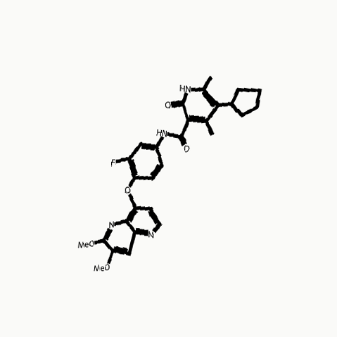 COc1cc2nccc(Oc3ccc(NC(=O)c4c(C)c(C5CCCC5)c(C)[nH]c4=O)cc3F)c2nc1OC